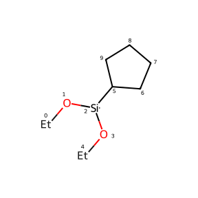 CCO[Si](OCC)C1CCCC1